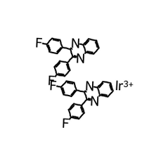 Fc1ccc(-c2nc3ccccc3nc2-c2ccc(F)cc2)cc1.Fc1ccc(-c2nc3ccccc3nc2-c2ccc(F)cc2)cc1.[Ir+3]